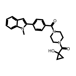 Cn1c(-c2ccc(C(=O)N3CCN(C(=O)C4(O)CC4)CC3)cc2)cc2ccccc21